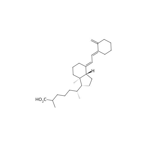 C=C1CCCCC1=CC=C1CCC[C@]2(C)[C@@H]([C@H](C)CCCC(C)C(=O)O)CC[C@@H]12